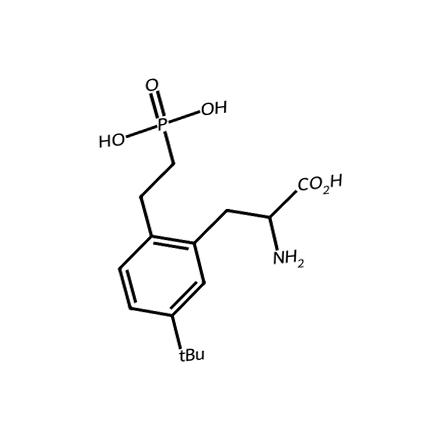 CC(C)(C)c1ccc(CCP(=O)(O)O)c(CC(N)C(=O)O)c1